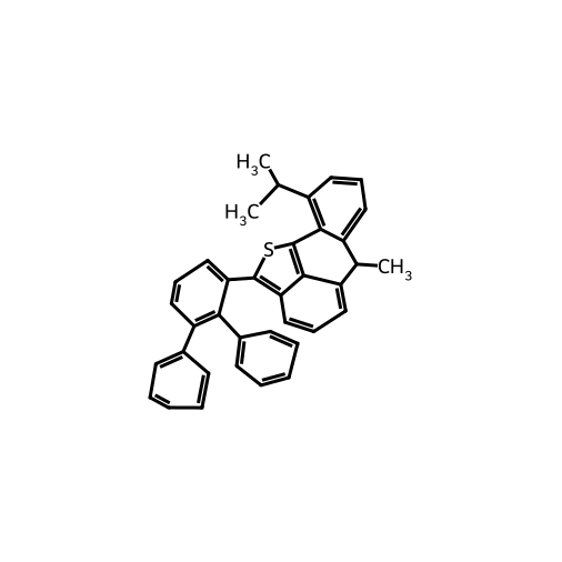 CC(C)c1cccc2c1-c1sc(-c3cccc(-c4ccccc4)c3-c3ccccc3)c3cccc(c13)C2C